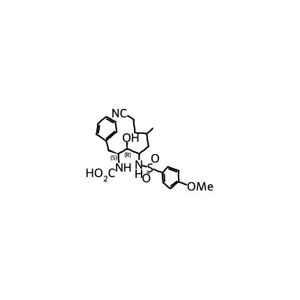 COc1ccc(S(=O)(=O)NC(CC(C)CCC#N)[C@H](O)[C@H](Cc2ccccc2)NC(=O)O)cc1